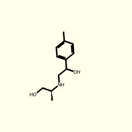 Cc1ccc(C(O)CN[C@@H](C)CO)cc1